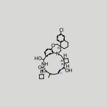 C[C@@H]1C/C=C/[C@H](O)[C@@H]2CC[C@H]2CN2C[C@@]3(CCCc4cc(Cl)ccc43)COc3ccc(cc32)C(O)NS(=O)(=O)[C@H]1C1CCC1